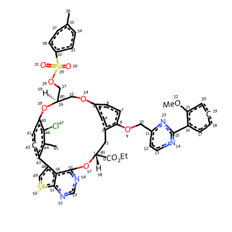 CCOC(=O)[C@H]1Cc2cc(ccc2OCc2ccnc(-c3ccccc3OC)n2)OC[C@H](COS(=O)(=O)c2ccc(C)cc2)Oc2ccc(c(C)c2Cl)-c2csc3ncnc(c23)O1